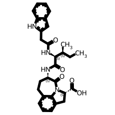 CC[C@H](C)[C@H](NC(=O)Cc1cc2ccccc2[nH]1)C(=O)N[C@H]1CCc2cccc3c2N(C1=O)[C@H](C(=O)O)C3